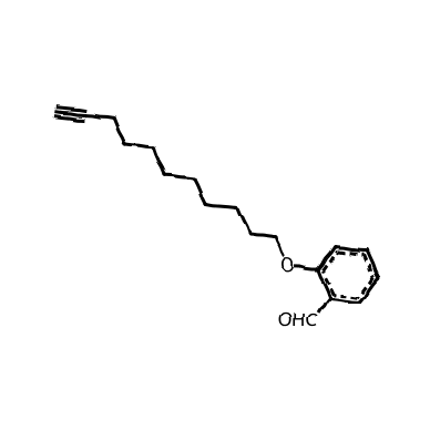 C#CCCCCCCCCCOc1ccccc1C=O